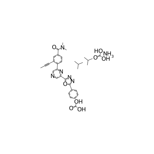 CC#Cc1cc(C(=O)N(C)C)ccc1-c1cncc(-c2nnc(-c3ccccc3)o2)n1.CC(C)C.CC(C)C.N.O=C(O)O.O=C(O)O